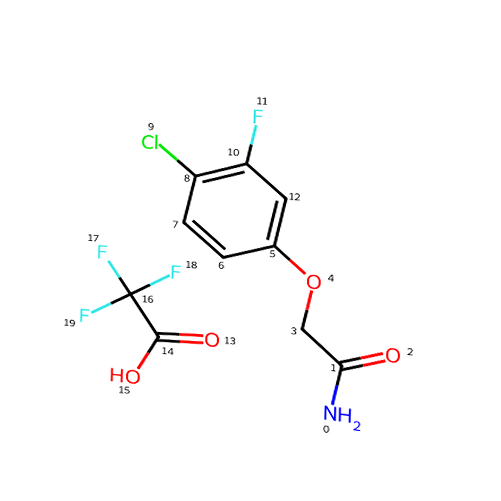 NC(=O)COc1ccc(Cl)c(F)c1.O=C(O)C(F)(F)F